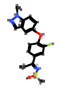 C/C(=N\[S@@+]([O-])C(C)(C)C)c1ccc(Oc2ccc3c(cnn3C)c2)c(F)c1